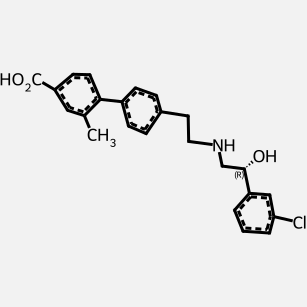 Cc1cc(C(=O)O)ccc1-c1ccc(CCNC[C@H](O)c2cccc(Cl)c2)cc1